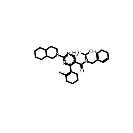 CC(C)N(CC1=CCCC=C1)C(=O)c1cnc(N2CCC3CCCCC3C2)nc1C1=C(F)CCCC1